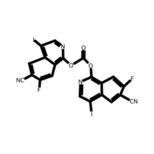 N#Cc1cc2c(I)cnc(OC(=O)Oc3ncc(I)c4cc(C#N)c(F)cc34)c2cc1F